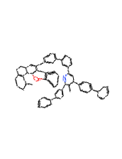 C=C1C(c2ccc(-c3ccccc3)cc2)=NC(c2cccc(-c3cccc(C4=CC5CCC6=C(C(C)CC=C6)C5c5oc6ccccc6c54)c3)c2)=CC1c1ccc(C2C=CC=CC2)cc1